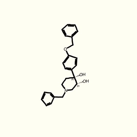 O[C@@H]1CN(Cc2ccccc2)CC[C@@]1(O)c1ccc(OCc2ccccc2)cc1